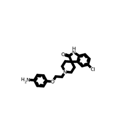 Nc1ccc(OCCN2CCC3(CC2)C(=O)Nc2ccc(Cl)cc23)cc1